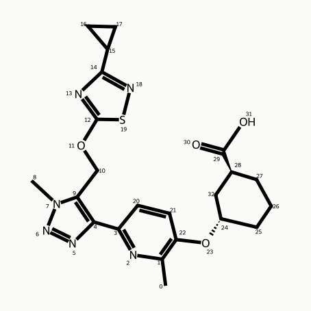 Cc1nc(-c2nnn(C)c2COc2nc(C3CC3)ns2)ccc1O[C@H]1CCC[C@H](C(=O)O)C1